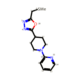 CSCc1nnc(C2CCN(c3ccccn3)CC2)o1